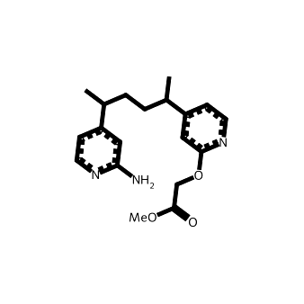 COC(=O)COc1cc(C(C)CCC(C)c2ccnc(N)c2)ccn1